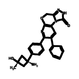 C[C@]1(O)C[C@@](N)(c2ccc(-c3nc4c(cc3-c3ccccc3)-n3c(n[nH]c3=O)CO4)cc2)C1